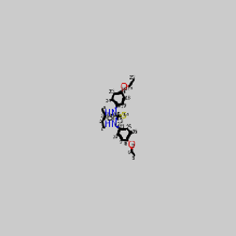 B.CCCC.CCOc1ccc(NC(=S)Nc2ccc(OCC)cc2)cc1